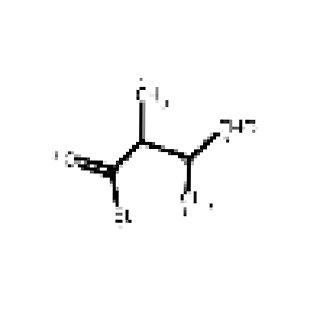 CCC(=O)C(C)C(C)C=O